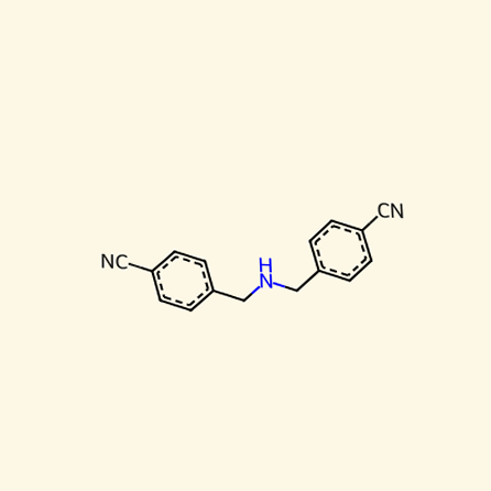 N#Cc1ccc(CNCc2ccc(C#N)cc2)cc1